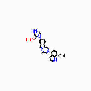 C[C@@H]1CN(c2ccc(C#N)c3ncccc23)CC2=C3CC=C(N4CCNC[C@@H]4CO)C=C3CN21